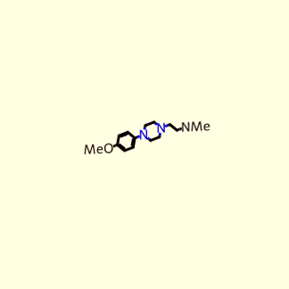 CNCCN1CCN(c2ccc(OC)cc2)CC1